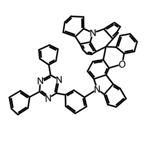 c1ccc(-c2nc(-c3ccccc3)nc(-c3cccc(-n4c5ccccc5c5c6c(ccc54)C4(c5ccccc5O6)c5ccccc5-n5c6ccccc6c6cccc4c65)c3)n2)cc1